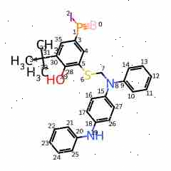 B#P(I)c1cc(SCN(c2ccccc2)c2ccc(Nc3ccccc3)cc2)c(O)c(C(C)(C)C)c1